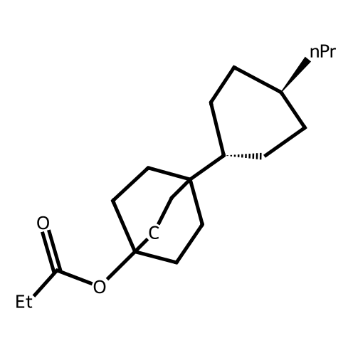 CCC[C@H]1CC[C@H](C23CCC(OC(=O)CC)(CC2)CC3)CC1